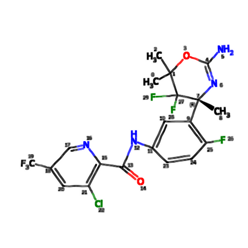 CC1(C)OC(N)=N[C@](C)(c2cc(NC(=O)c3ncc(C(F)(F)F)cc3Cl)ccc2F)C1(F)F